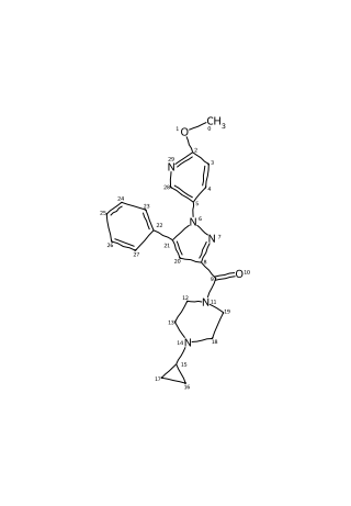 COc1ccc(-n2nc(C(=O)N3CCN(C4CC4)CC3)cc2-c2ccccc2)cn1